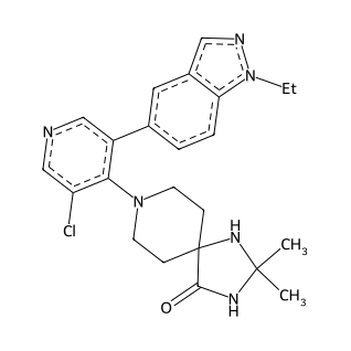 CCn1ncc2cc(-c3cncc(Cl)c3N3CCC4(CC3)NC(C)(C)NC4=O)ccc21